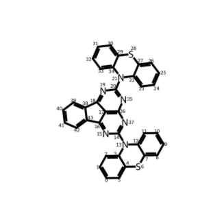 c1ccc2c(c1)Sc1ccccc1N2c1nc2c3c(nc(N4c5ccccc5Sc5ccccc54)nc3n1)-c1ccccc1-2